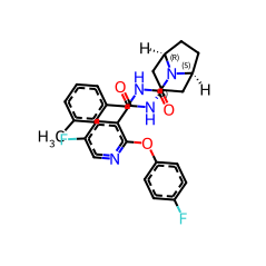 Cc1cccc(CNC(=O)N2[C@@H]3CC[C@H]2C[C@H](NC(=O)c2cc(F)cnc2Oc2ccc(F)cc2)C3)c1